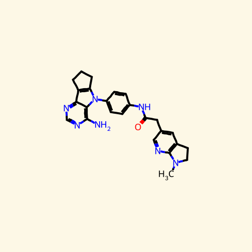 CN1CCc2cc(CC(=O)Nc3ccc(-n4c5c(c6ncnc(N)c64)CCC5)cc3)cnc21